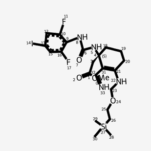 COC(=O)C[C@@]1(NC(=O)Nc2c(F)cc(I)cc2F)CCCC(NCOCC[Si](C)(C)C)=C1C=N